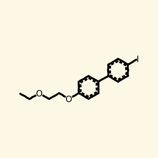 CCOCCOc1ccc(-c2ccc(I)cc2)cc1